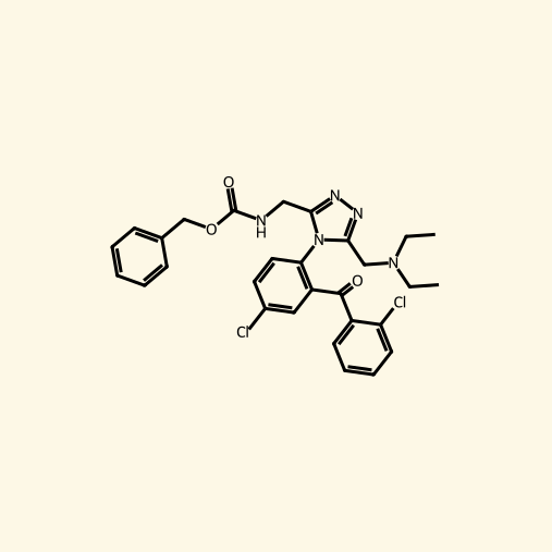 CCN(CC)Cc1nnc(CNC(=O)OCc2ccccc2)n1-c1ccc(Cl)cc1C(=O)c1ccccc1Cl